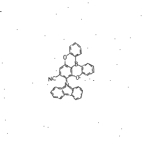 N#Cc1cc2c3c(c1-n1c4ccccc4c4ccccc41)Oc1ccccc1B3c1ccccc1O2